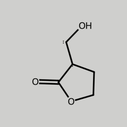 O=C1OCC[C]1[C]O